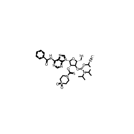 [2H]C[C@H]1O[C@@H](n2cnc3c(NC(=O)c4ccccc4)ncnc32)[C@@H](OC(=S)N2CCS(=O)(=O)CC2)C1OP(OC(C)[N+]#[C-])N(C(C)C)C(C)C